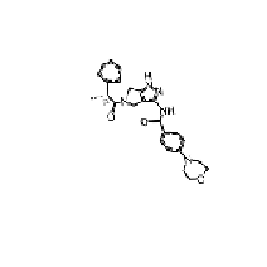 C[C@@H](C(=O)N1Cc2[nH]nc(NC(=O)c3ccc(N4CCOCC4)cc3)c2C1)c1ccccc1